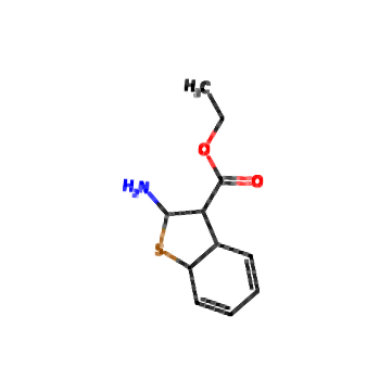 CCOC(=O)C1C(N)SC2C=CC=CC21